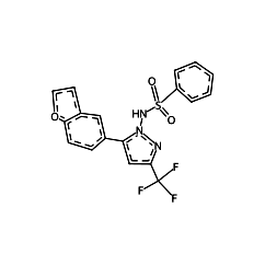 O=S(=O)(Nn1nc(C(F)(F)F)cc1-c1ccc2occc2c1)c1ccccc1